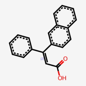 O=C(O)/C=C(/c1ccccc1)c1ccc2ccccc2c1